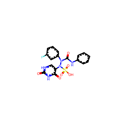 O=C(Nc1ccccc1)N(c1cccc(F)c1)N(c1c[nH]c(=O)[nH]c1=O)S(=O)(=O)O